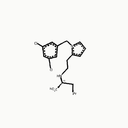 CC(C)C[C@H](NCCc1cccn1Cc1cc(Cl)cc(Cl)c1)C(=O)O